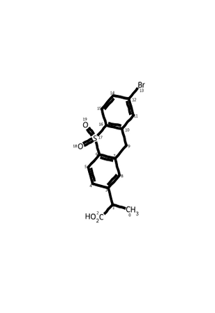 CC(C(=O)O)c1ccc2c(c1)Cc1cc(Br)ccc1S2(=O)=O